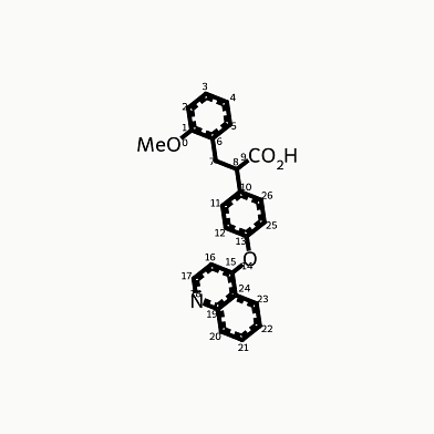 COc1ccccc1CC(C(=O)O)c1ccc(Oc2ccnc3ccccc23)cc1